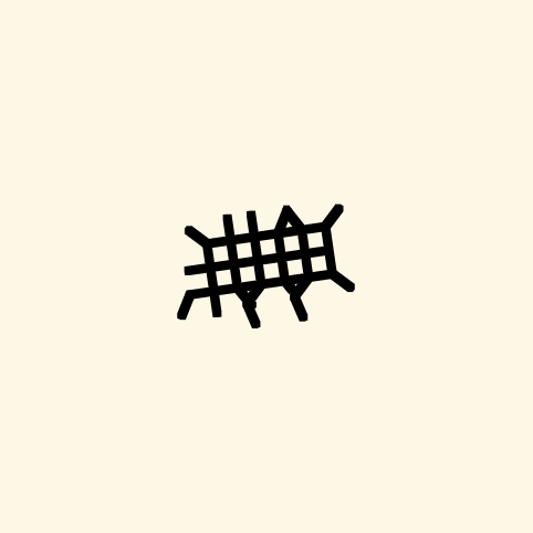 CCC1(C)C2(C)C(C)C3(C)C4(C)C56CC57C(C)C5C(C)C8(CC)C9(C)C%10(CC)C1(C)C23C4%10C96C587